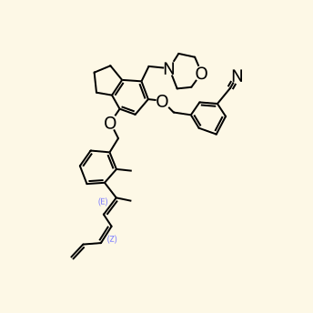 C=C/C=C\C=C(/C)c1cccc(COc2cc(OCc3cccc(C#N)c3)c(CN3CCOCC3)c3c2CCC3)c1C